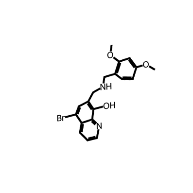 COc1ccc(CNCc2cc(Br)c3cccnc3c2O)c(OC)c1